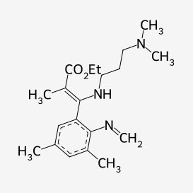 C=Nc1c(C)cc(C)cc1/C(NCCCN(C)C)=C(\C)C(=O)OCC